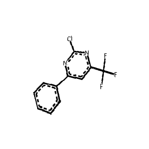 FC(F)(F)c1cc(-c2ccccc2)nc(Cl)n1